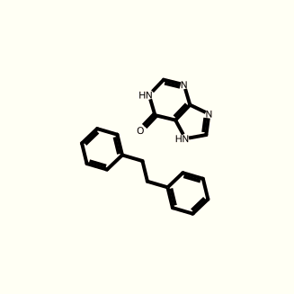 O=c1[nH]cnc2nc[nH]c12.c1ccc(CCc2ccccc2)cc1